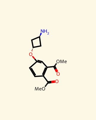 COC(=O)c1ccc(O[C@H]2C[C@H](N)C2)cc1C(=O)OC